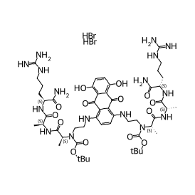 Br.Br.C[C@H](NC(=O)[C@H](C)N(CCNc1ccc(NCCN(C(=O)OC(C)(C)C)[C@@H](C)C(=O)N[C@@H](C)C(=O)N[C@@H](CCCNC(=N)N)C(N)=O)c2c1C(=O)c1c(O)ccc(O)c1C2=O)C(=O)OC(C)(C)C)C(=O)N[C@@H](CCCNC(=N)N)C(N)=O